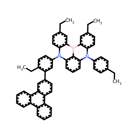 CCc1ccc(N2c3ccc(CC)cc3B3c4cc(CC)ccc4N(c4ccc(CC)c(-c5ccc6c7ccccc7c7ccccc7c6c5)c4)c4cccc2c43)cc1